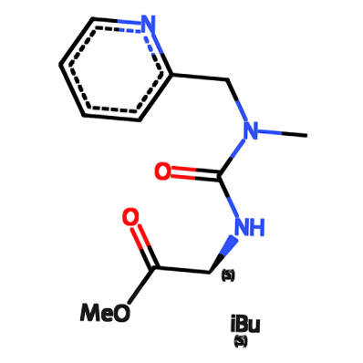 CC[C@H](C)[C@H](NC(=O)N(C)Cc1ccccn1)C(=O)OC